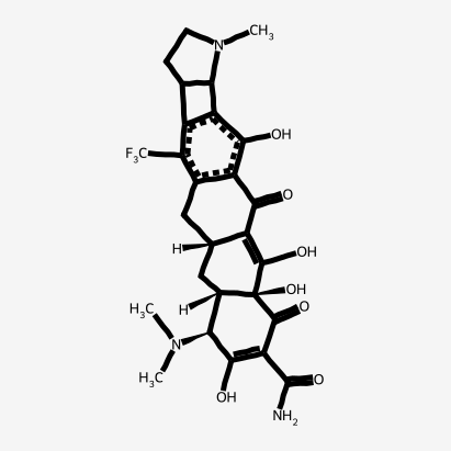 CN1CCC2c3c(c(O)c4c(c3C(F)(F)F)C[C@H]3C[C@H]5[C@H](N(C)C)C(O)=C(C(N)=O)C(=O)[C@@]5(O)C(O)=C3C4=O)C21